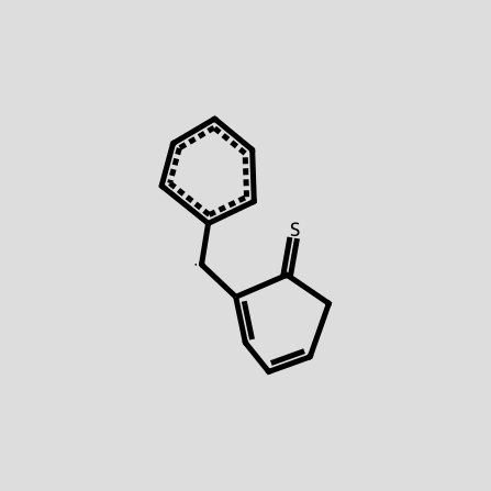 S=C1CC=CC=C1[CH]c1ccccc1